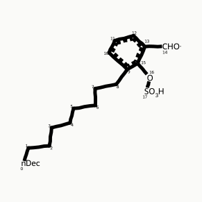 CCCCCCCCCCCCCCCCCCc1cccc([C]=O)c1OS(=O)(=O)O